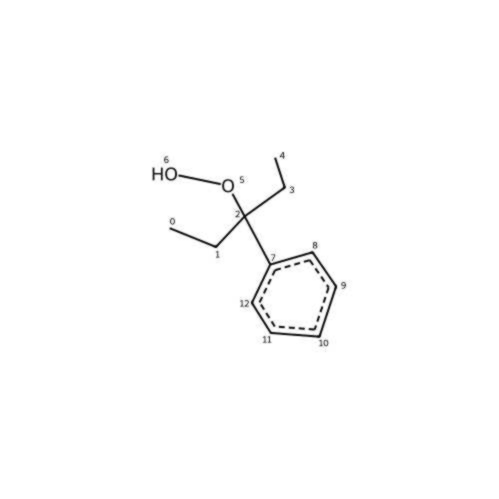 CCC(CC)(OO)c1ccccc1